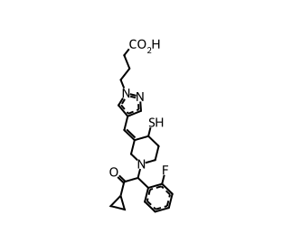 O=C(O)CCCn1cc(C=C2CN(C(C(=O)C3CC3)c3ccccc3F)CCC2S)cn1